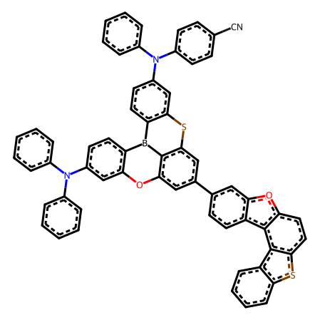 N#Cc1ccc(N(c2ccccc2)c2ccc3c(c2)Sc2cc(-c4ccc5c(c4)oc4ccc6sc7ccccc7c6c45)cc4c2B3c2ccc(N(c3ccccc3)c3ccccc3)cc2O4)cc1